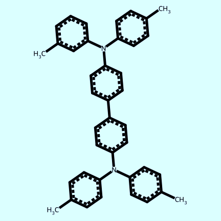 Cc1ccc(N(c2ccc(C)cc2)c2ccc(-c3ccc(N(c4ccc(C)cc4)c4cccc(C)c4)cc3)cc2)cc1